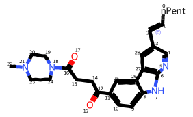 CCCCC/C=C/c1cnc2[nH]c3ccc(C(=O)CCC(=O)N4CCN(C)CC4)cc3c2c1